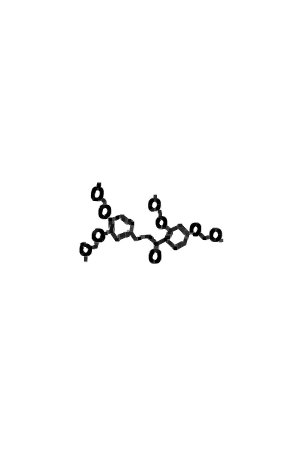 COCOc1ccc(C(=O)CCc2ccc(OCOC)c(OCOC)c2)c(OCOC)c1